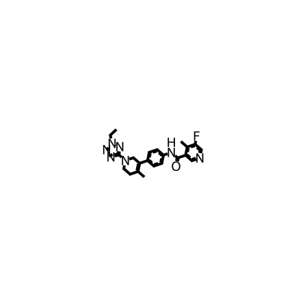 CCn1nnc(N2CCC(C)=C(c3ccc(NC(=O)c4cncc(F)c4C)cc3)C2)n1